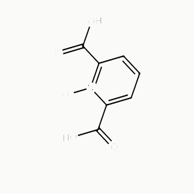 O=C(O)c1cccc(C(=O)O)[n+]1[O-]